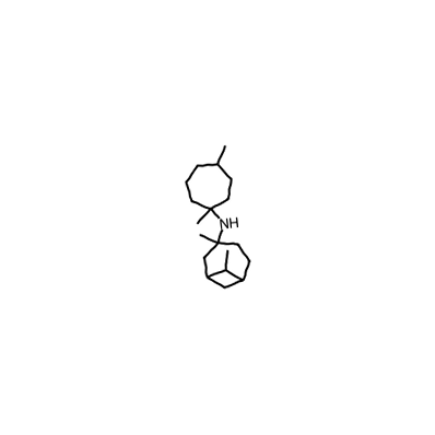 CC1CCCC(C)(NC2(C)CCC3CC(C2)C3C)CC1